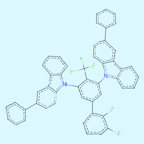 Fc1cccc(-c2cc(-n3c4ccccc4c4cc(-c5ccccc5)ccc43)c(C(F)(F)F)c(-n3c4ccccc4c4cc(-c5ccccc5)ccc43)c2)c1F